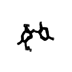 Cc1c[n+](O)c(Oc2ccc(F)cc2F)cc1N